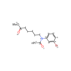 CCCC(=O)N(CCCCCC(=O)OC)c1cccc(Br)c1